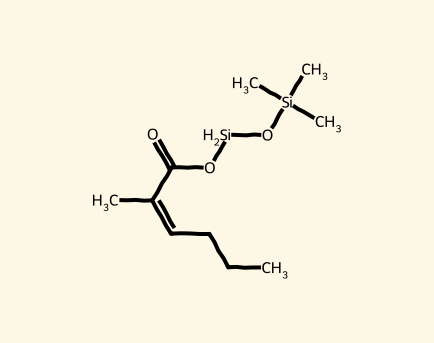 CCCC=C(C)C(=O)O[SiH2]O[Si](C)(C)C